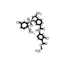 CCOC(=O)c1ccc(NC(=O)c2ccc3c(c2)N(S(=O)(=O)c2cc(Cl)ccc2OC)CC3C)cc1Cl